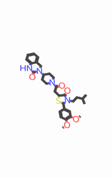 COc1ccc(C2SC(CC(=O)N3CCC(N4Cc5ccccc5NC4=O)CC3)C(=O)N2CCC(C)C)cc1OC